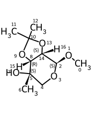 CO[C@H]1OC[C@](C)(O)[C@@H]2OC(C)(C)O[C@H]12